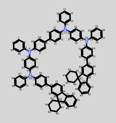 c1ccc(N(c2ccc(-c3ccc(N(c4ccccc4)c4ccc(N(c5ccccc5)c5ccc(-c6ccc7c(c6)C6(CCCCC6)c6ccccc6-7)cc5)cc4)cc3)cc2)c2ccc(N(c3ccccc3)c3ccc(-c4ccc5c(c4)C4(CCCCC4)c4ccccc4-5)cc3)cc2)cc1